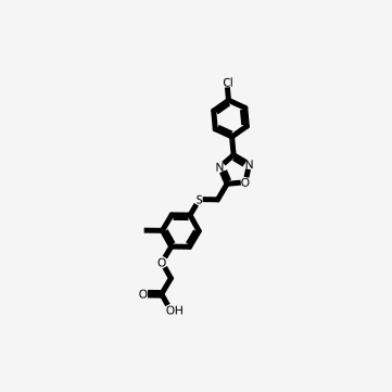 Cc1cc(SCc2nc(-c3ccc(Cl)cc3)no2)ccc1OCC(=O)O